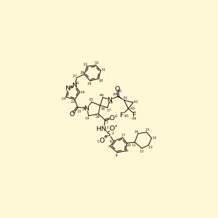 O=C(NS(=O)(=O)c1cccc(C2CCCCC2)c1)C1CN(C(=O)c2cnn(Cc3ccccc3)c2)CC12CN(C(=O)[C@H]1CC1(F)F)C2